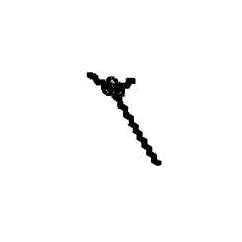 CCCCCCCCCCCCCCCCCCP(=O)(OCCCC)OCCCC